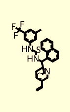 C=CC1CN2CCC1CC2C(NC(=S)Nc1cc(C)cc(C(F)(F)F)c1)c1cccc2ccccc12